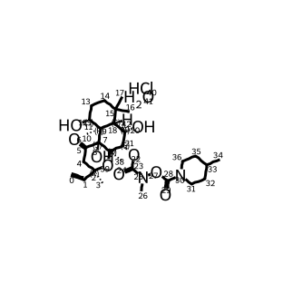 C=C[C@@]1(C)CC(=O)[C@]2(O)[C@@]3(C)[C@@H](O)CCC(C)(C)[C@@H]3[C@H](O)[C@H](OC(=O)N(C)OC(=O)N3CCC(C)CC3)[C@@]2(C)O1.Cl.O